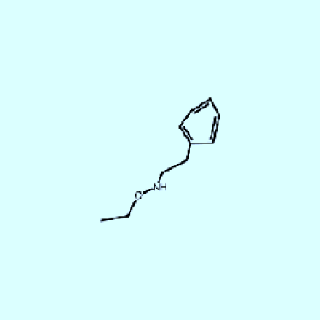 CCONCCc1ccccc1